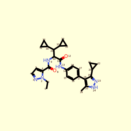 CCn1nccc1C(=O)NC(C(=O)Nc1ccc(-c2c(C3CC3)n[nH]c2C)cc1)C(C1CC1)C1CC1